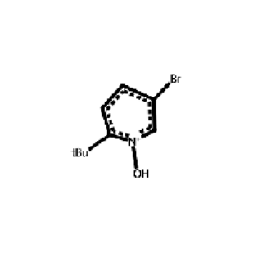 CC(C)(C)c1ccc(Br)c[n+]1O